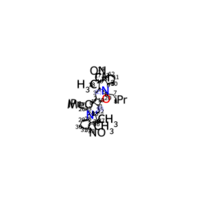 COC1=C(/C=C2\N(CCC(C)C)c3cccc(N=O)c3C2(C)C)C(=O)/C1=C/C1=[N+](CCC(C)C)c2cccc(N=O)c2C1(C)C